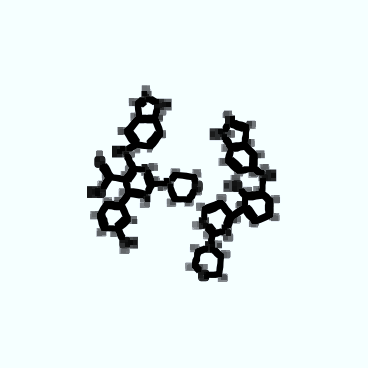 O=C(O)c1c(Nc2ccc3[nH]ncc3c2)nc(N2CCOCC2)nc1-c1cccc(O)c1.Oc1c(Nc2ccc3[nH]ncc3c2)cccc1-c1ccnc(N2CCOCC2)n1